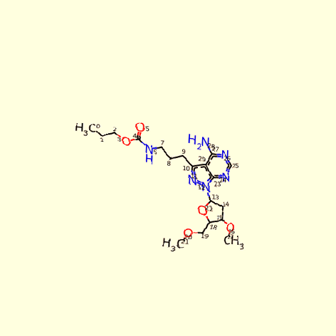 CCCOC(=O)NCCCc1nn(C2CC(OC)C(COC)O2)c2ncnc(N)c12